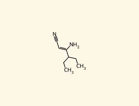 CCC(CC)/C(N)=C/C#N